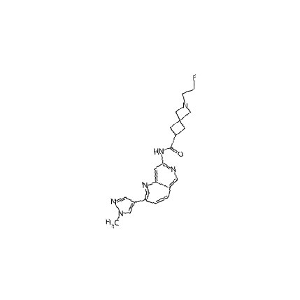 Cn1cc(-c2ccc3cnc(NC(=O)C4CC5(C4)CN(CCF)C5)cc3n2)cn1